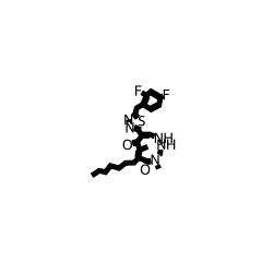 CCCCCCC/C1=C(/C)C(=O)/C(c2nnc(Cc3ccc(F)cc3F)s2)=C\NNCN(C)C1=O